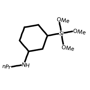 CCCNC1CCCC([Si](OC)(OC)OC)C1